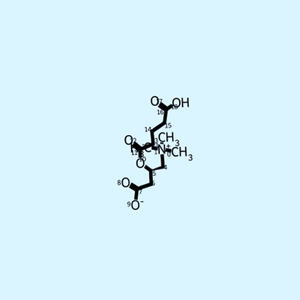 C[N+](C)(C)C[C@@H](CC(=O)[O-])OC(=O)CCCC(=O)O